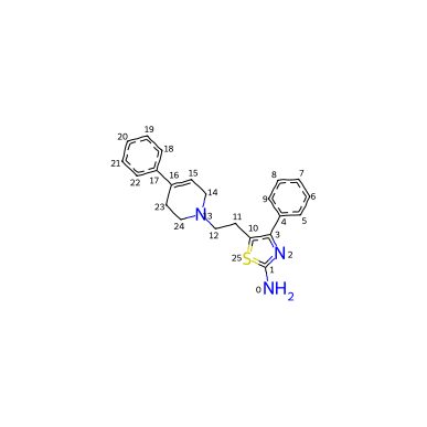 Nc1nc(-c2ccccc2)c(CCN2CC=C(c3ccccc3)CC2)s1